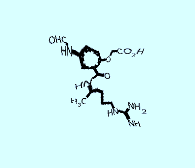 CC(CCCNC(=N)N)NC(=O)c1cc(NC=O)ccc1OCC(=O)O